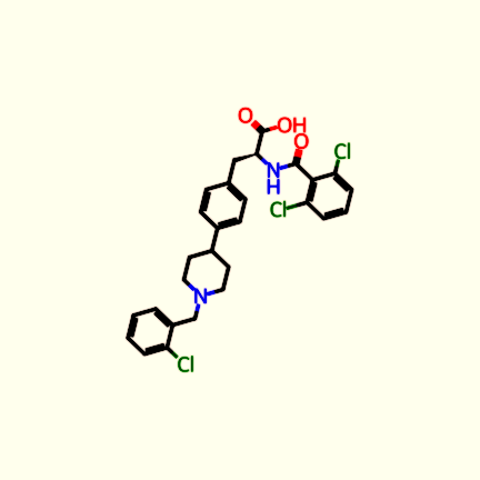 O=C(N[C@@H](Cc1ccc(C2CCN(Cc3ccccc3Cl)CC2)cc1)C(=O)O)c1c(Cl)cccc1Cl